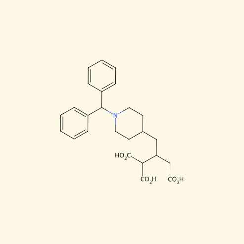 O=C(O)CC(CC1CCN(C(c2ccccc2)c2ccccc2)CC1)C(C(=O)O)C(=O)O